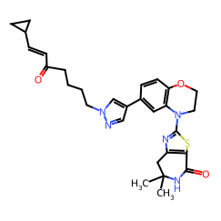 CC1(C)Cc2nc(N3CCOc4ccc(-c5cnn(CCCCC(=O)/C=C/C6CC6)c5)cc43)sc2C(=O)N1